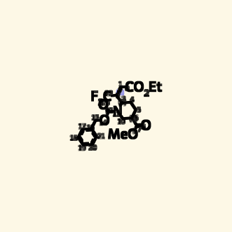 CCOC(=O)/C=C(\[C@H]1CC[C@@H](C(=O)OC)CN1C(=O)OCc1ccccc1)C(F)(F)F